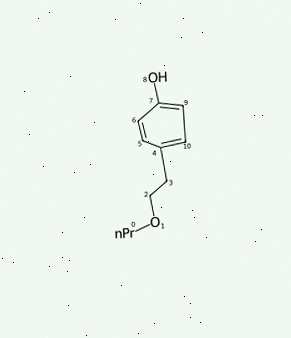 CCCOCCc1ccc(O)cc1